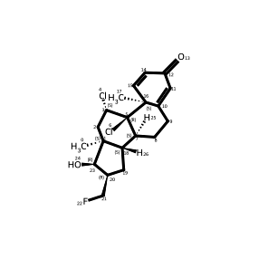 C[C@]12C[C@H](Cl)[C@@]3(Cl)[C@@H](CCC4=CC(=O)C=C[C@@]43C)[C@@H]1C[C@@H](CF)[C@H]2O